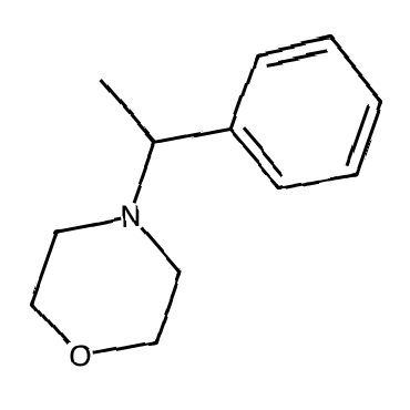 CC(c1ccccc1)N1CCOCC1